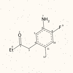 CCC(=O)Cc1cc(N)c(F)cc1C